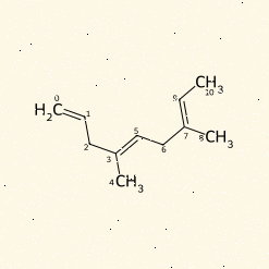 C=CCC(C)=CCC(C)=CC